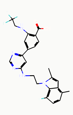 Cc1ccc(F)c2c1cc(C)n2CCNc1cc(-c2ccc(C(=O)O)c(NCC(F)(F)F)c2)ncn1